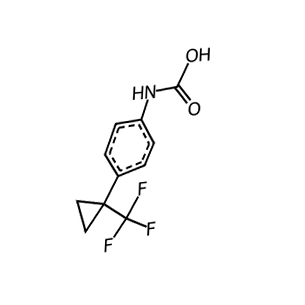 O=C(O)Nc1ccc(C2(C(F)(F)F)CC2)cc1